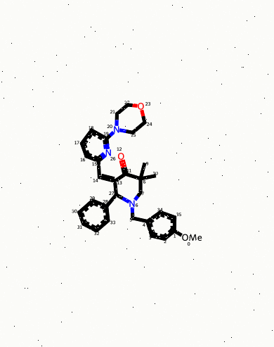 COc1ccc(CN2CC(C)(C)C(=O)C(=Cc3cccc(N4CCOCC4)n3)C2c2ccccc2)cc1